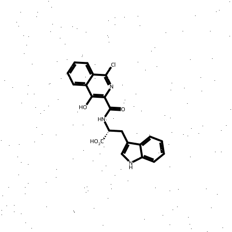 O=C(N[C@H](Cc1c[nH]c2ccccc12)C(=O)O)c1nc(Cl)c2ccccc2c1O